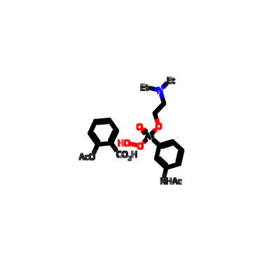 CC(=O)Oc1ccccc1C(=O)O.CCN(CC)CCO[As](=O)(OO)c1cccc(NC(C)=O)c1